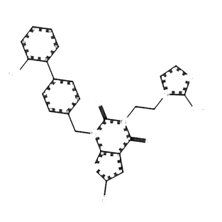 CCc1cc2c(=O)n(CCn3ccnc3C=O)c(=O)n(Cc3ccc(-c4ccccc4C#N)cc3)c2s1